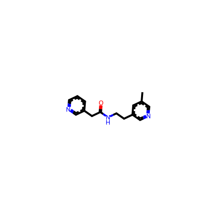 Cc1cncc(CCNC(=O)Cc2cccnc2)c1